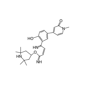 Cn1ccc(-c2ccc(O)c(C(=N)/C=C\C(=N)OC3CC(C)(C)NC(C)(C)C3)c2)cc1=O